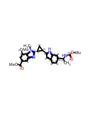 COC(=O)c1cc(OC)c2c(c1)nc([C@@H]1CC1c1cc3ccc(C(C)NC(=O)OC(C)(C)C)cc3[nH]1)n2C